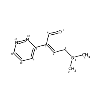 CN(C)CC=C(C=O)c1cccnn1